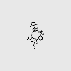 CCCCN(C)N1C(=O)c2cccc(c2)S(=O)(=O)Nc2nc(cc(-c3c(C)cccc3C)n2)OC[C@H]1CC(C)C